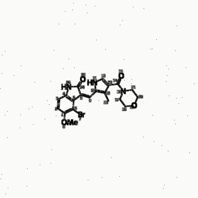 COc1ccc2c(c1Br)/C(=C/c1[nH]cc(C(=O)N3CCOCC3)c1C)C(=O)N2